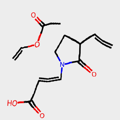 C=CC1CCN(C=CC(=O)O)C1=O.C=COC(C)=O